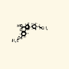 CCC[C@H]1CC[C@H](c2ccc(C(=O)O)c(-c3ccc(COC)cc3)c2)CC1